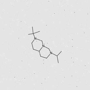 CC(C)N1CCC2CCN(C(C)(C)C)CN2C1